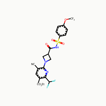 CCOC(=O)c1cc(C#N)c(N2CC(C(=O)NS(=O)(=O)c3ccc(OC(F)(F)F)cc3)C2)nc1C(F)F